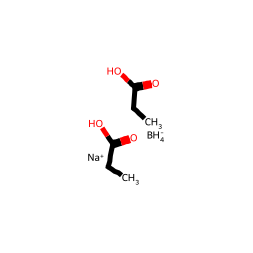 CCC(=O)O.CCC(=O)O.[BH4-].[Na+]